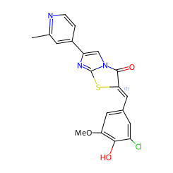 COc1cc(/C=c2\sc3nc(-c4ccnc(C)c4)cn3c2=O)cc(Cl)c1O